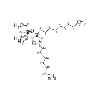 C=CCCCCCCC[Si](CC)(CCCCCCCC=C)O[Si](CC)(CC)CC